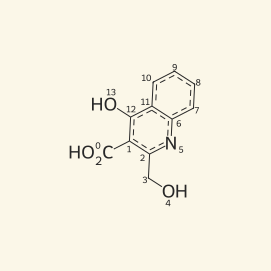 O=C(O)c1c(CO)nc2ccccc2c1O